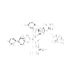 N=C(N)NCCC[C@H](NC(=O)[C@H](Cc1ccc(Cl)cc1)NC(=O)[C@H](CCCNC(=N)N)NC(=O)[C@@H](N)Cc1ccc(-c2ccccc2)cc1)C(N)=O